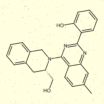 Cc1ccc2c(N3Cc4ccccc4C[C@H]3CO)nc(-c3ccccc3O)nc2c1